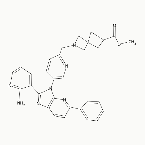 COC(=O)C1CC2(C1)CN(Cc1ccc(-n3c(-c4cccnc4N)nc4ccc(-c5ccccc5)nc43)cn1)C2